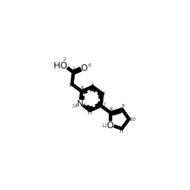 O=C(O)Cc1ccc(C2=CCCO2)cn1